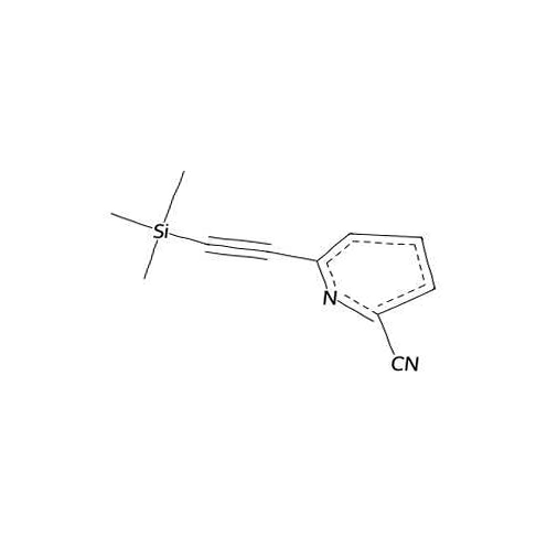 C[Si](C)(C)C#Cc1cccc(C#N)n1